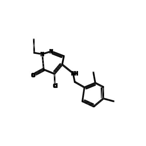 CCn1ncc(NCc2ccc(C)cc2C)c(Cl)c1=O